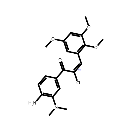 COc1cc(/C=C(/Cl)C(=O)c2ccc(N)c(N(C)C)c2)c(OC)c(OC)c1